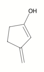 C=C1C=C(O)CC1